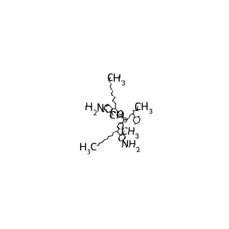 CCCCCCCCCC(c1ccc(C(CCC(CCC)C2CCCCC2)c2ccc(C(CCCCCCCCC)c3ccc(N)cc3C)cc2)cc1)c1ccc(N)cc1C